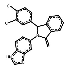 C=C1c2ccccc2C(c2ccc(Cl)c(Cl)c2)N1c1ccc2[nH]cnc2c1